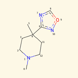 CN1CCC(C)(c2ncon2)CC1